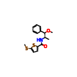 COC(c1ccccc1)C(C)NC(=O)c1ccc(SC)s1